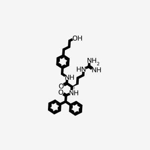 N=C(N)NCCC[C@@H](NC(=O)C(c1ccccc1)c1ccccc1)C(=O)NCc1ccc(CCCO)cc1